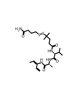 C=C/C(=C\C)NC(=O)[C@H](C)NC(=O)[C@@H](NC(=O)CCC(C)(C)SSCCCC(N)=O)C(C)C